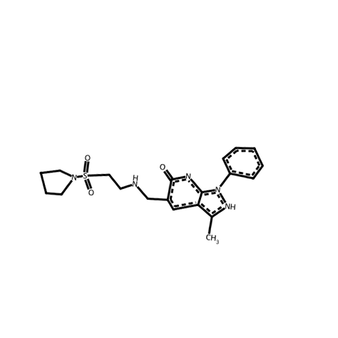 Cc1[nH]n(-c2ccccc2)c2nc(=O)c(CNCCS(=O)(=O)N3CCCC3)cc1-2